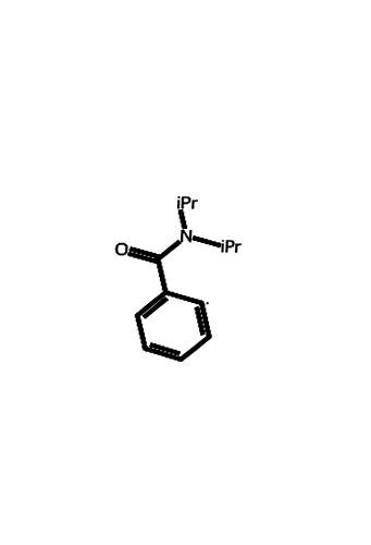 CC(C)N(C(=O)c1[c]cccc1)C(C)C